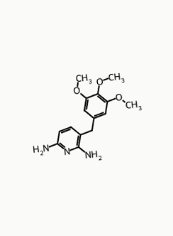 COc1cc(Cc2ccc(N)nc2N)cc(OC)c1OC